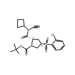 CC(C)(C)OC(=O)N1C[C@H](S(=O)(=O)c2ccccc2Cl)C[C@H]1C(=O)N(C#N)C1CCC1